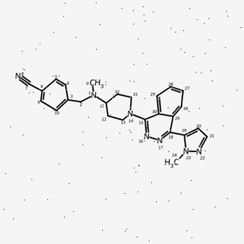 CN(Cc1ccc(C#N)cc1)C1CCN(c2nnc(-c3ccnn3C)c3ccccc23)CC1